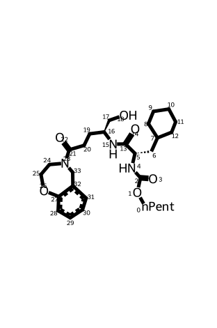 CCCCCOC(=O)N[C@@H](CC1CCCCC1)C(=O)N[C@H](CO)CCC(=O)N1CCOc2ccccc2C1